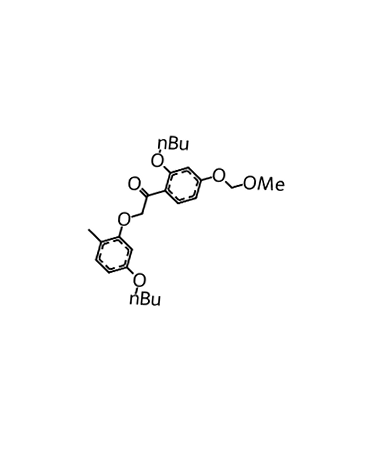 CCCCOc1ccc(C)c(OCC(=O)c2ccc(OCOC)cc2OCCCC)c1